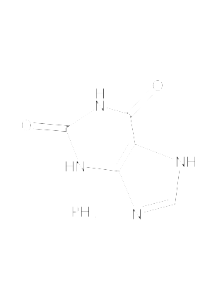 O=c1[nH]c(=O)c2[nH]cnc2[nH]1.P